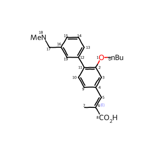 CCCCOc1cc(/C=C(\C)C(=O)O)ccc1-c1cccc(CNC)c1